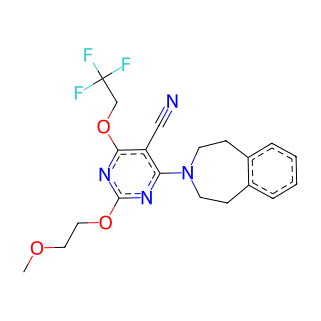 COCCOc1nc(OCC(F)(F)F)c(C#N)c(N2CCc3ccccc3CC2)n1